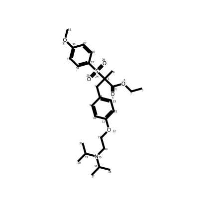 CCOC(=O)C(C)(Cc1ccc(OCCN(C(C)C)C(C)C)cc1)S(=O)(=O)c1ccc(OC)cc1